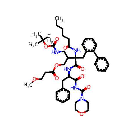 CCCCCC(=O)NC(Cc1ccccc1-c1ccccc1)(C(=O)NC(Cc1ccccc1)C(=O)NC(=O)N1CCOCC1)C(CNC(=O)OC(C)(C)C)COC(=O)CCOC